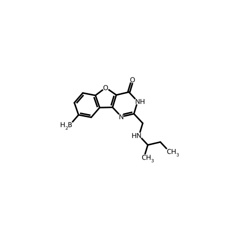 Bc1ccc2oc3c(=O)[nH]c(CNC(C)CC)nc3c2c1